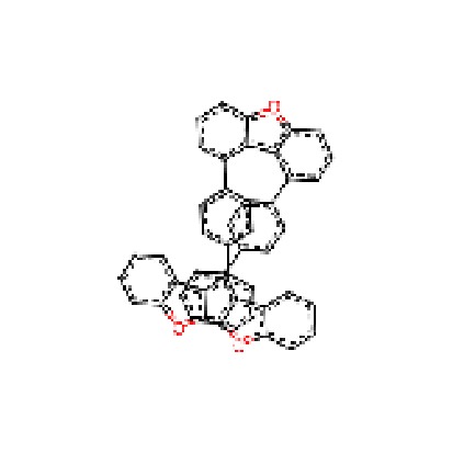 c1ccc2c(c1)oc1cccc(-c3ccc(-c4cccc5oc6cccc(-c7ccc(-c8cccc9oc%10ccccc%10c89)cc7)c6c45)cc3)c12